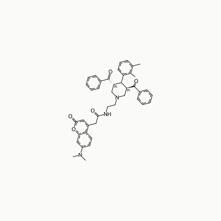 Cc1cccc(C2[C@@H](C(=O)c3ccccc3)CN(CCNC(=O)Cc3cc(=O)oc4cc(N(C)C)ccc34)C[C@@H]2C(=O)c2ccccc2)c1C